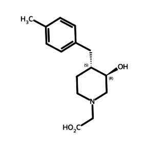 Cc1ccc(C[C@H]2CCN(CC(=O)O)C[C@@H]2O)cc1